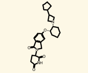 O=C1CCC(N2Cc3cc(O[C@H]4CCCC[C@H]4N4CC(C5CCCC5)C4)ccc3C2=O)C(=O)N1